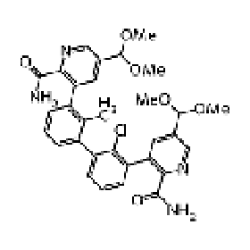 COC(OC)c1cnc(C(N)=O)c(-c2cccc(-c3cccc(-c4cc(C(OC)OC)cnc4C(N)=O)c3Cl)c2C)c1